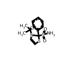 CC(C)(C)N1C=CSC1(c1ccccc1)S(N)(=O)=O